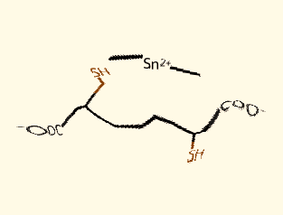 O=C([O-])C(S)CCC(S)C(=O)[O-].[CH3][Sn+2][CH3]